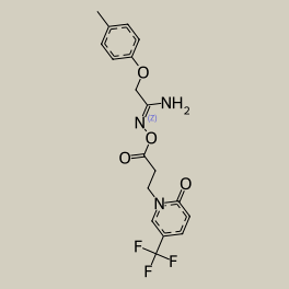 Cc1ccc(OC/C(N)=N/OC(=O)CCn2cc(C(F)(F)F)ccc2=O)cc1